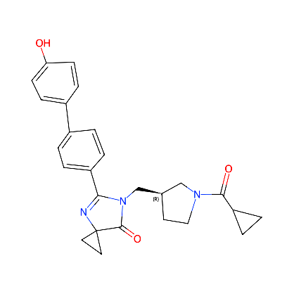 O=C(C1CC1)N1CC[C@@H](CN2C(=O)C3(CC3)N=C2c2ccc(-c3ccc(O)cc3)cc2)C1